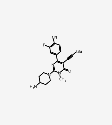 Cn1c(N2CCC(N)CC2)nc(-c2ccc(C#N)c(F)c2)c(C#CC(C)(C)C)c1=O